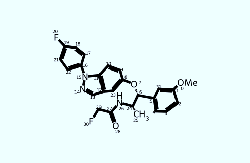 COc1cccc([C@@H](Oc2ccc3c(cnn3-c3ccc(F)cc3)c2)[C@H](C)NC(=O)CF)c1